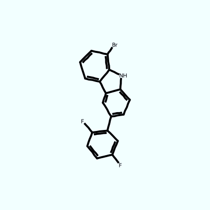 Fc1ccc(F)c(-c2ccc3[nH]c4c(Br)cccc4c3c2)c1